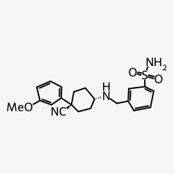 COc1cccc([C@]2(C#N)CC[C@H](NCc3cccc(S(N)(=O)=O)c3)CC2)c1